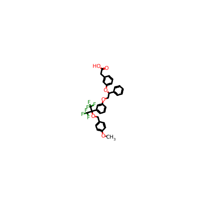 COc1ccc(COC(c2cccc(OCC(Oc3cccc(CC(=O)O)c3)c3ccccc3)c2)(C(F)(F)F)C(F)(F)F)cc1